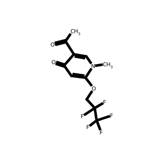 CC(=O)c1cn(C)c(OCC(F)(F)C(F)(F)F)cc1=O